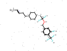 C/C=C/CC[C@H]1CC[C@H](CC(F)(F)OCc2ccc(C(F)(F)F)c(F)c2)CC1